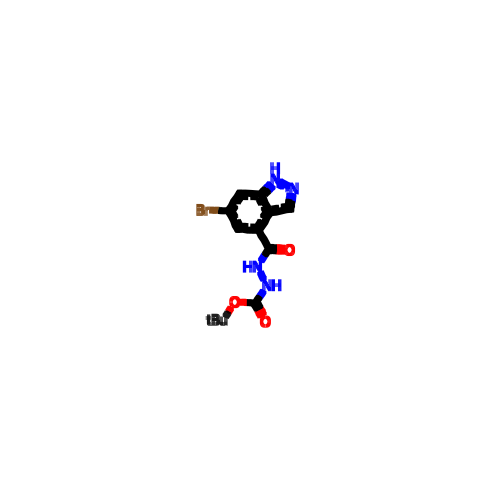 CC(C)(C)OC(=O)NNC(=O)c1cc(Br)cc2[nH]ncc12